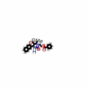 COC(=O)C1=C(C)N(CCOC(=O)c2ccccc2)C(=O)NC1c1ccc2ccccc2c1